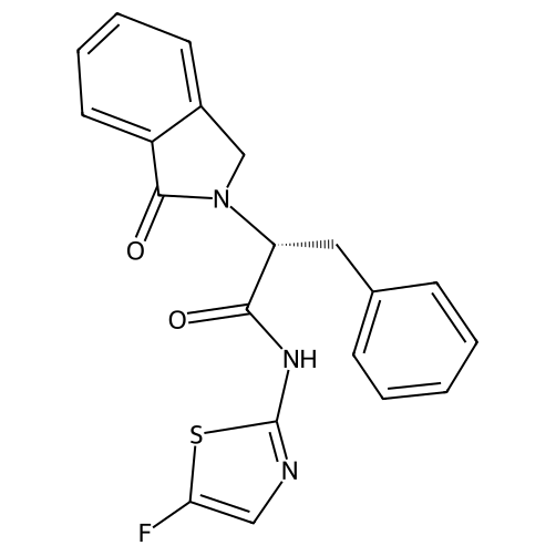 O=C(Nc1ncc(F)s1)[C@@H](Cc1ccccc1)N1Cc2ccccc2C1=O